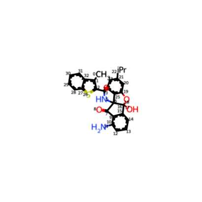 Cc1c(C(=O)NC23C(=O)c4c(N)cccc4C2(O)Oc2cc(C(C)C)ccc23)sc2ccccc12